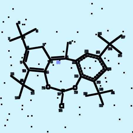 C/C1=C2\CC(C(C)(C)C)=CC(C(C)(C)C)=C2OP(Cl)Oc2c1cc(C(C)(C)C)cc2C(C)(C)C